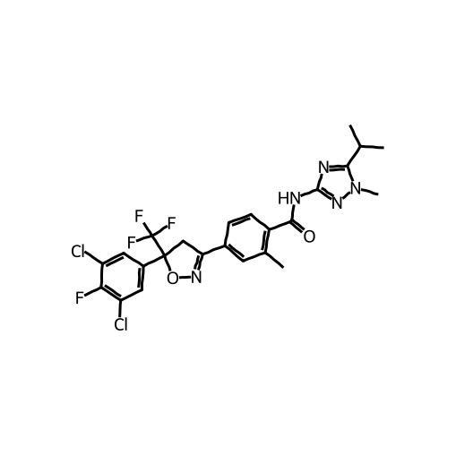 Cc1cc(C2=NOC(c3cc(Cl)c(F)c(Cl)c3)(C(F)(F)F)C2)ccc1C(=O)Nc1nc(C(C)C)n(C)n1